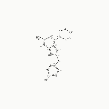 Nc1nc(N2CCOCC2)c2nc(Cc3ccc(F)cc3)sc2n1